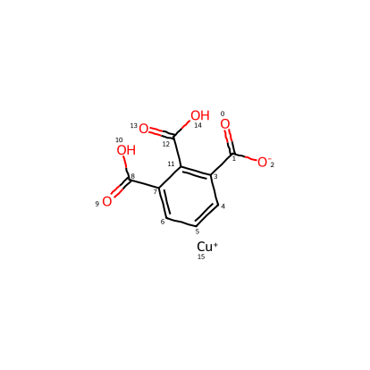 O=C([O-])c1cccc(C(=O)O)c1C(=O)O.[Cu+]